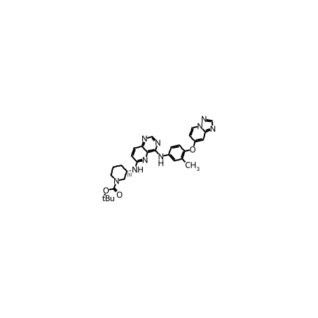 Cc1cc(Nc2ncnc3ccc(N[C@H]4CCCN(C(=O)OC(C)(C)C)C4)nc23)ccc1Oc1ccn2ncnc2c1